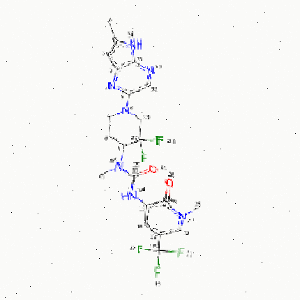 Cc1cc2nc(N3CCC(N(C)C(=O)Nc4cc(C(F)(F)F)cn(C)c4=O)C(F)(F)C3)cnc2[nH]1